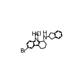 Brc1ccc2[nH]c3c(c2c1)CCC[C@@H]3NC1Cc2ccccc2C1.Cl